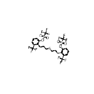 O=S(=O)(Oc1cccc(C(F)(F)F)c1CCCSCCCc1c(OS(=O)(=O)C(F)(F)F)cccc1C(F)(F)F)C(F)(F)F